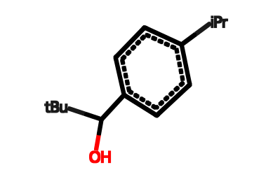 CC(C)c1ccc(C(O)C(C)(C)C)cc1